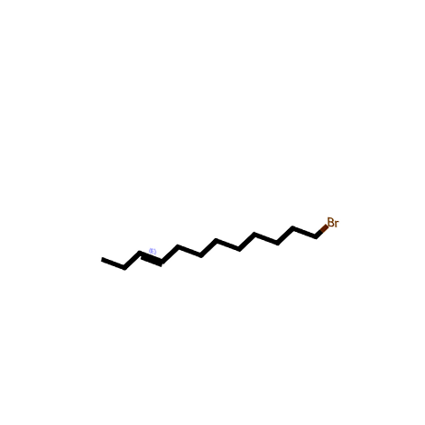 CC/C=C/CCCCCCCCBr